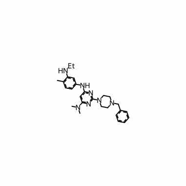 CCNc1cc(Nc2cc(N(C)C)nc(N3CCN(Cc4ccccc4)CC3)n2)ccc1C